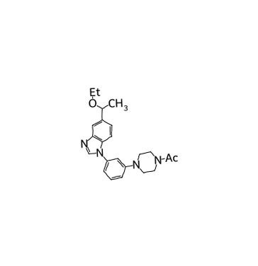 CCOC(C)c1ccc2c(c1)ncn2-c1cccc(N2CCN(C(C)=O)CC2)c1